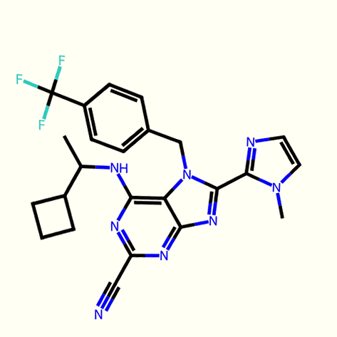 CC(Nc1nc(C#N)nc2nc(-c3nccn3C)n(Cc3ccc(C(F)(F)F)cc3)c12)C1CCC1